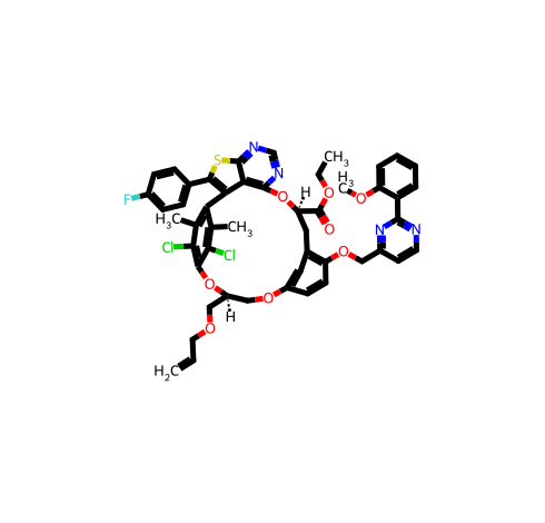 C=CCOC[C@@H]1COc2ccc(OCc3ccnc(-c4ccccc4OC)n3)c(c2)C[C@H](C(=O)OCC)Oc2ncnc3sc(-c4ccc(F)cc4)c(c23)-c2c(C)c(Cl)c(c(Cl)c2C)O1